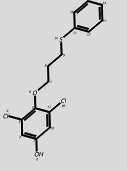 Oc1cc(Cl)c(OCCCSc2ccccc2)c(Cl)c1